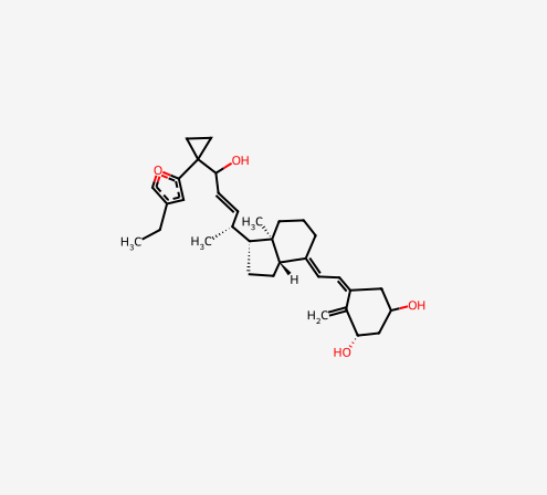 C=C1/C(=C\C=C2/CCC[C@]3(C)[C@@H]([C@H](C)/C=C/C(O)C4(c5cc(CC)co5)CC4)CC[C@@H]23)CC(O)C[C@@H]1O